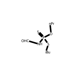 CCCOP(=S)(NC=O)SC(C)CC